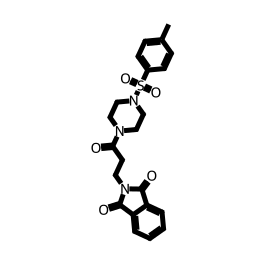 Cc1ccc(S(=O)(=O)N2CCN(C(=O)CCN3C(=O)c4ccccc4C3=O)CC2)cc1